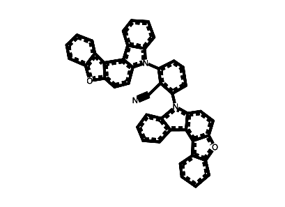 N#Cc1c(-n2c3ccccc3c3c4c(ccc32)oc2ccccc24)cccc1-n1c2ccccc2c2c3c(ccc21)oc1ccccc13